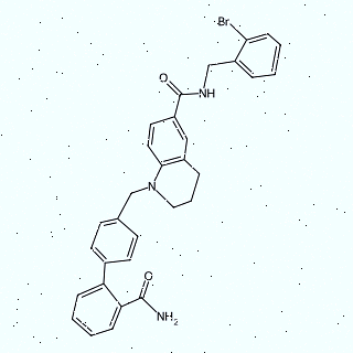 NC(=O)c1ccccc1-c1ccc(CN2CCCc3cc(C(=O)NCc4ccccc4Br)ccc32)cc1